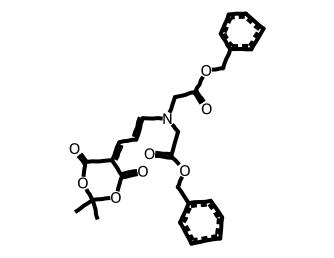 CC1(C)OC(=O)C(=C/C=C/N(CC(=O)OCc2ccccc2)CC(=O)OCc2ccccc2)C(=O)O1